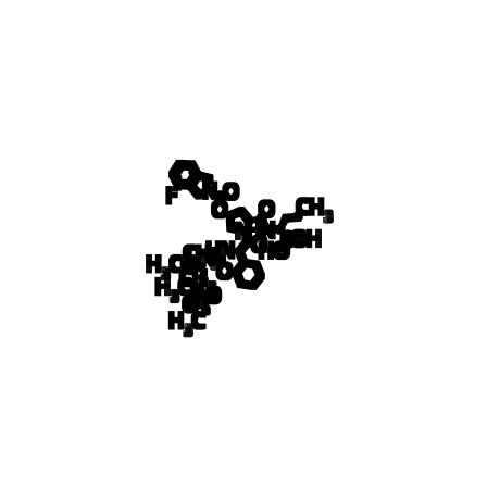 CCC[C@H](NC(=O)[C@@H]1C[C@@H](OC(=O)N2Cc3cccc(F)c3C2)CN1C(=O)[C@@H](NC(=O)N[C@H](CN(C)S(=O)(=O)CC)C(C)(C)C)C1CCCCC1)B(O)O